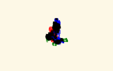 Cn1cc2cc(NC(=O)C(Cc3ccc(F)cc3)N3CC(=O)N(c4cc(Cl)ccc4N(N)/C=C(\N)Cl)CC3=O)ccc2n1